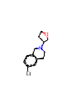 CCc1ccc2c(c1)CCN(C1CCOC1)C2